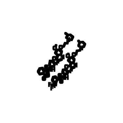 COc1cc2c(Oc3ccc(NS(=O)(=O)c4cccc(C(F)(F)F)c4)cc3F)ccnc2cc1OCCCN1CCCC(C)C1.COc1cc2c(Oc3ccc(NS(=O)(=O)c4ccccc4[N+](=O)[O-])cc3F)ccnc2cc1OCCCN1CCCC(C)C1